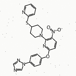 O=[N+]([O-])c1ccc(Oc2ccc(-n3cncn3)cc2)nc1N1CCC(Sc2ccccn2)CC1